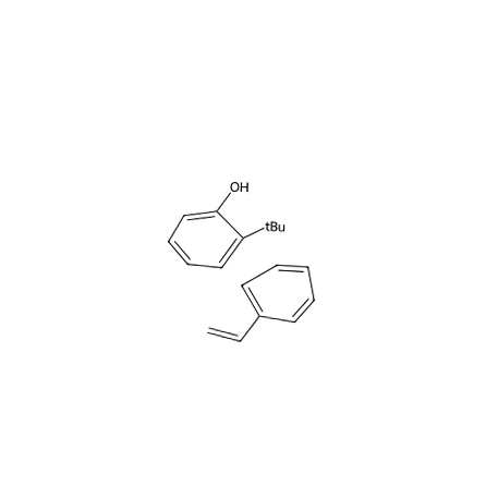 C=Cc1ccccc1.CC(C)(C)c1ccccc1O